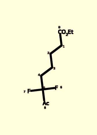 CCOC(=O)CCCCC(F)(F)C(C)=O